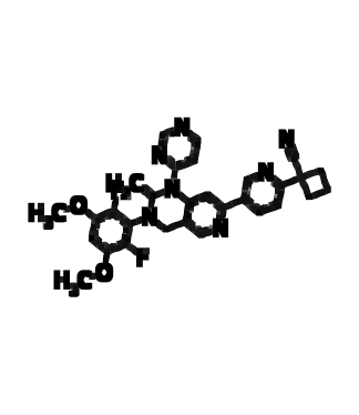 C=C1N(c2c(F)c(OC)cc(OC)c2F)Cc2cnc(-c3ccc(C4(C#N)CCC4)nc3)cc2N1c1ccncn1